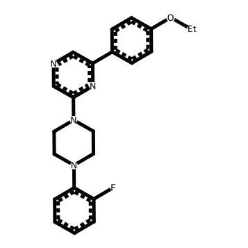 CCOc1ccc(-c2cncc(N3CCN(c4ccccc4F)CC3)n2)cc1